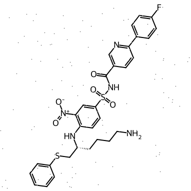 NCCCC[C@H](CSc1ccccc1)Nc1ccc(S(=O)(=O)NC(=O)c2ccc(-c3ccc(F)cc3)nc2)cc1[N+](=O)[O-]